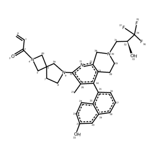 C=CC(=O)N1CC2(CCN(c3nc4c(c(-c5cccc6cc(O)ccc56)c3C)CCN(C[C@H](O)C(F)(F)F)C4)C2)C1